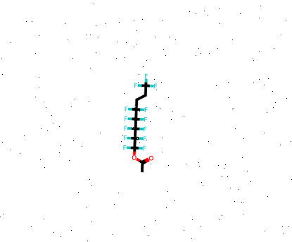 CC(=O)OC(F)(F)C(F)(F)C(F)(F)C(F)(F)C(F)(F)CCC(F)(F)F